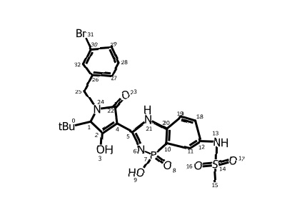 CC(C)(C)C1C(O)=C(C2=NP(=O)(O)c3cc(NS(C)(=O)=O)ccc3N2)C(=O)N1Cc1cccc(Br)c1